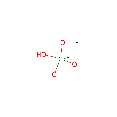 [O-][Cl+3]([O-])([O-])O.[Y]